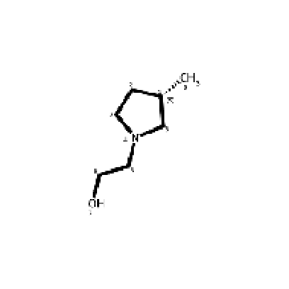 C[C@H]1CCN(CCO)C1